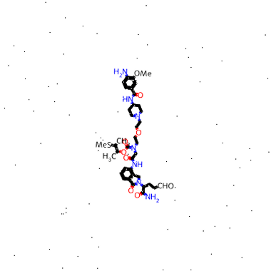 COc1cc(C(=O)NC2CCN(CCOCCN(CC(=O)Nc3cccc4c3CN(C(CCC=O)C(N)=O)C4=O)C(=O)OC(C)C(C)SC)CC2)ccc1N